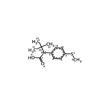 CSc1ccc(N(C(=O)O)C(C)(C)C)cc1